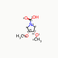 CO[C@H]1CN(C(=O)O)C[C@H]1OC